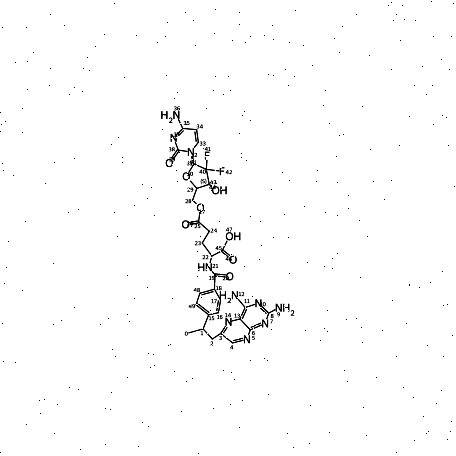 CC(Cc1cnc2nc(N)nc(N)c2n1)c1ccc(C(=O)NC(CCC(=O)OCC2O[C@@H](n3ccc(N)nc3=O)C(F)(F)[C@H]2O)C(=O)O)cc1